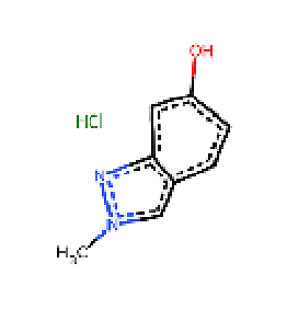 Cl.Cn1cc2ccc(O)cc2n1